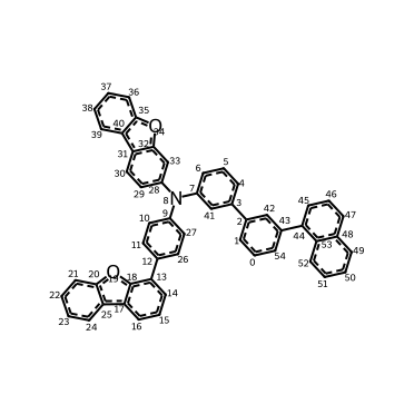 c1cc(-c2cccc(N(c3ccc(-c4cccc5c4oc4ccccc45)cc3)c3ccc4c(c3)oc3ccccc34)c2)cc(-c2cccc3ccccc23)c1